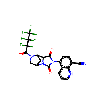 N#Cc1ccc(N2C(=O)C3C4CC(CN4C(=O)C(F)(F)C(F)(F)C(F)(F)F)N3C2=O)c2cccnc12